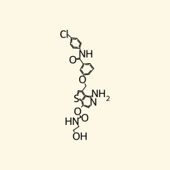 Nc1ncc(OC(=O)NCCO)c2scc(COc3cccc(C(=O)Nc4ccc(Cl)cc4)c3)c12